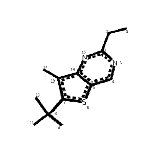 CCc1ncc2sc(C(C)(C)C)c(C)c2n1